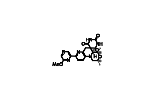 COc1cncc(-c2ccc3c(n2)CC2(C(=O)NC(=O)NC2=O)[C@H]2[C@H](C)O[C@H](C)CN32)n1